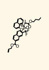 C=CCOC(=O)c1ccc2ccc(C(F)(F)P(=O)(N[C@@H](C)C(=O)OCCCC)Oc3cccc4ccccc34)cc2c1